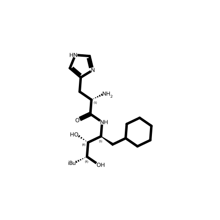 CCC(C)[C@@H](O)[C@H](O)[C@H](CC1CCCCC1)NC(=O)[C@@H](N)Cc1c[nH]cn1